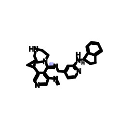 C=Nc1cncc(C2CC2)c1/C(=N\Cc1ccnc(N[C@@H]2CCc3ccccc32)c1)N1CCNCC1